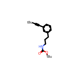 CC(C)(C)C#Cc1cccc(CCCNC(=O)OC(C)(C)C)c1